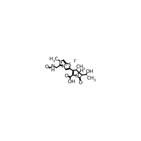 C[C@@H](O)[C@H]1C(=O)N2C(C(=O)O)=C(c3c[n+]4c(CNC=O)n(C)cc4s3)[C@H](C)[C@H]12.[I-]